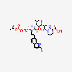 CCc1ccc2ccc(/C=C/[C@@H](C(=O)N[C@H](C(=O)N[C@@H](C)C(=O)N3CCC[C@@H](C(=O)O)N3)C(C)C)[C@H](C)OCOC(=O)OC(C)C)cc2n1